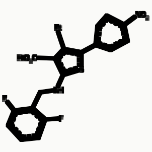 CCOC(=O)c1c(NCc2c(F)cccc2F)sc(-c2ccc([N+](=O)[O-])cc2)c1CC